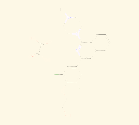 CCN1CCN(c2nc(-c3cc(F)c(OCCO)c(F)c3)cc3ccccc23)CC1.O=C(O)C(=O)O